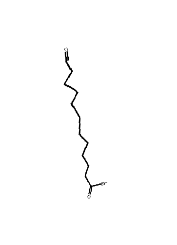 O=CCCCCCCCCCCC(=O)Br